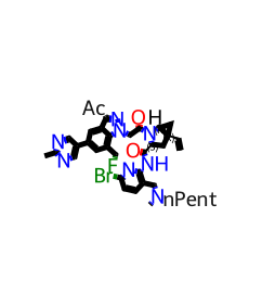 C=C[C@@]12C[C@@H](C(=O)Nc3nc(Br)ccc3CN(C)CCCCC)N(C(=O)Cn3nc(C(C)=O)c4cc(-c5cnc(C)nc5)cc(CF)c43)[C@@H]1C2